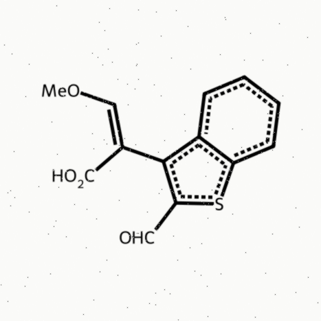 COC=C(C(=O)O)c1c(C=O)sc2ccccc12